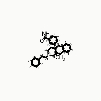 C[C@]12Cc3ccccc3C[C@@]1(c1cccc(C(N)=O)c1)CCN(CCc1ccccc1)C2